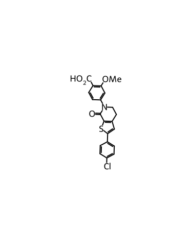 COc1cc(N2CCc3cc(-c4ccc(Cl)cc4)sc3C2=O)ccc1C(=O)O